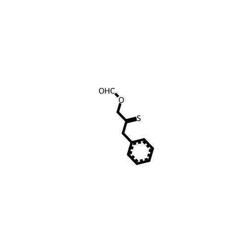 O=COCC(=S)Cc1ccccc1